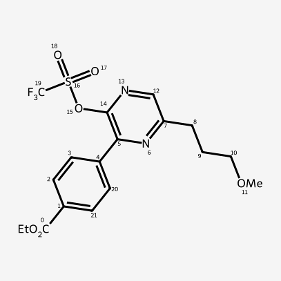 CCOC(=O)c1ccc(-c2nc(CCCOC)cnc2OS(=O)(=O)C(F)(F)F)cc1